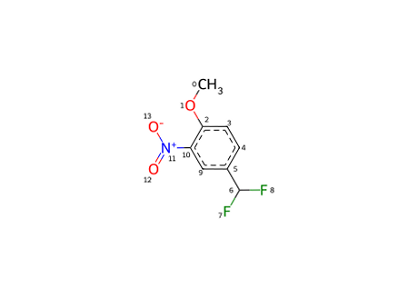 COc1ccc(C(F)F)cc1[N+](=O)[O-]